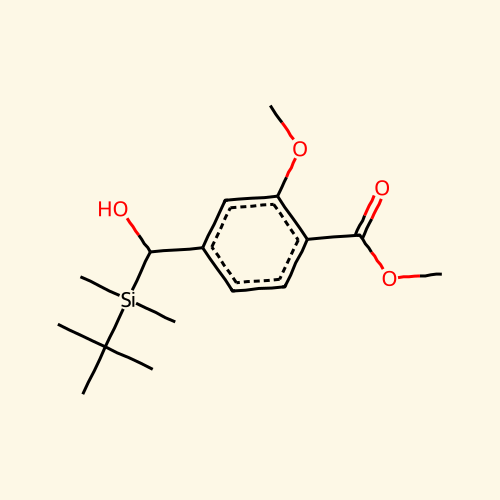 COC(=O)c1ccc(C(O)[Si](C)(C)C(C)(C)C)cc1OC